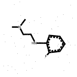 CN(C)CCNc1ccccc1F